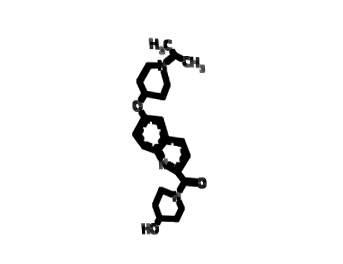 CC(C)N1CCC(Oc2ccc3nc(C(=O)N4CCC(O)CC4)ccc3c2)CC1